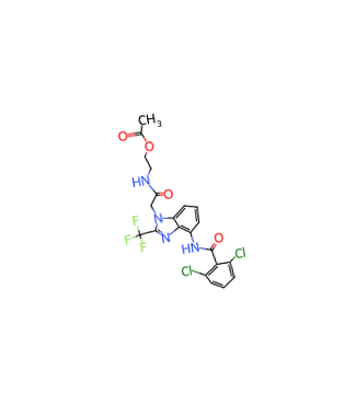 CC(=O)OCCNC(=O)Cn1c(C(F)(F)F)nc2c(NC(=O)c3c(Cl)cccc3Cl)cccc21